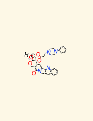 CCC1(OC(=O)CCN2CCN(c3ccccc3)CC2)C(=O)OCc2c1cc1n(c2=O)Cc2cc3ccccc3nc2-1